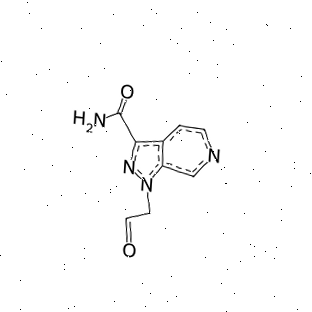 NC(=O)c1nn(CC=O)c2cnccc12